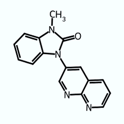 Cn1c(=O)n(-c2cnc3ncccc3c2)c2ccccc21